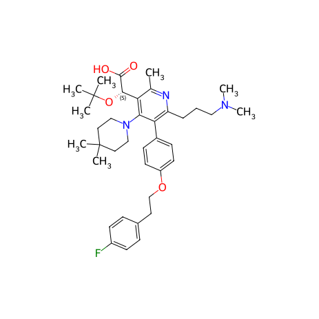 Cc1nc(CCCN(C)C)c(-c2ccc(OCCc3ccc(F)cc3)cc2)c(N2CCC(C)(C)CC2)c1[C@H](OC(C)(C)C)C(=O)O